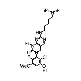 CCOc1cc(OC)c(F)c(N2Cc3cnc(NCCCCCN(C(C)C)C(C)C)nc3N(CC)C2=O)c1Cl